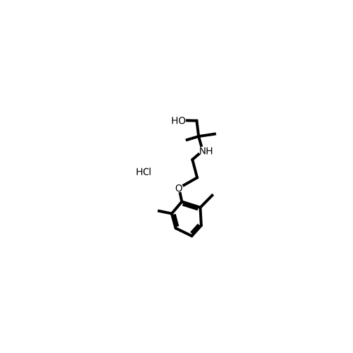 Cc1cccc(C)c1OCCNC(C)(C)CO.Cl